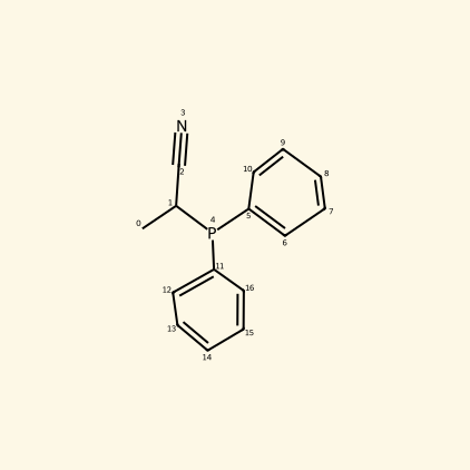 CC(C#N)P(c1ccccc1)c1ccccc1